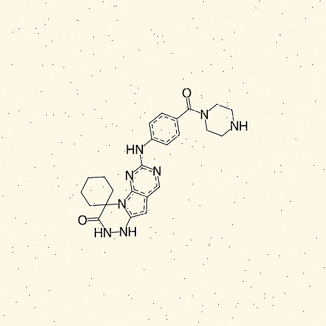 O=C(c1ccc(Nc2ncc3cc4n(c3n2)C2(CCCCC2)C(=O)NN4)cc1)N1CCNCC1